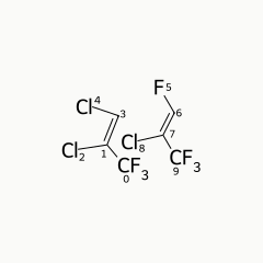 FC(F)(F)C(Cl)=CCl.FC=C(Cl)C(F)(F)F